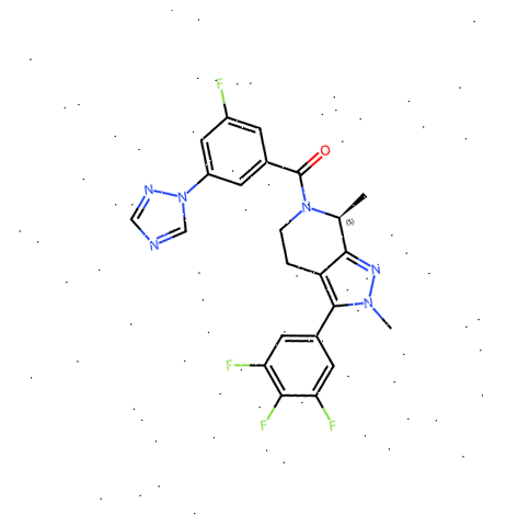 C[C@H]1c2nn(C)c(-c3cc(F)c(F)c(F)c3)c2CCN1C(=O)c1cc(F)cc(-n2cncn2)c1